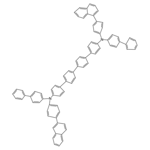 c1ccc(-c2ccc(N(c3ccc(-c4ccc(-c5ccc(-c6ccc(N(c7ccc(-c8ccccc8)cc7)c7ccc(-c8cccc9ccccc89)cc7)cc6)cc5)cc4)cc3)c3ccc(-c4ccc5ccccc5c4)cc3)cc2)cc1